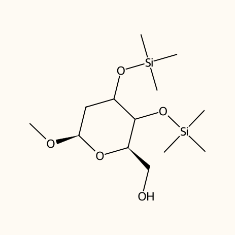 CO[C@H]1CC(O[Si](C)(C)C)C(O[Si](C)(C)C)[C@@H](CO)O1